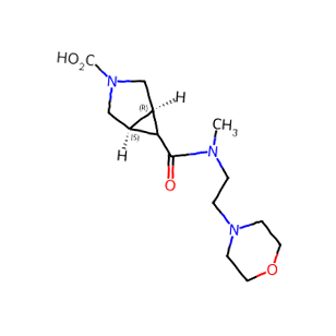 CN(CCN1CCOCC1)C(=O)C1[C@H]2CN(C(=O)O)C[C@@H]12